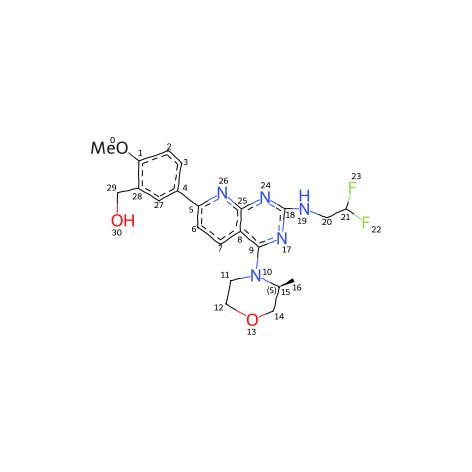 COc1ccc(-c2ccc3c(N4CCOC[C@@H]4C)nc(NCC(F)F)nc3n2)cc1CO